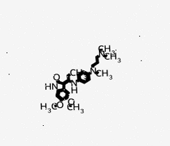 CCC(Nc1ccc(N(C)CCCN(C)C)cc1)=C1C(=O)Nc2cc(OC)c(OC)cc21